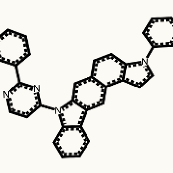 c1ccc(-c2nccc(-n3c4ccccc4c4cc5c(ccc6c5ccn6-c5ccccc5)cc43)n2)cc1